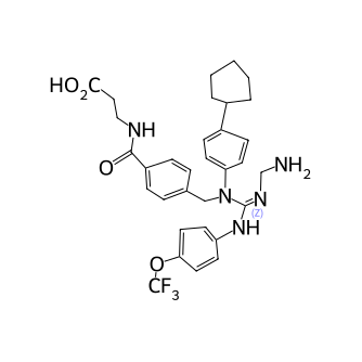 NC/N=C(/Nc1ccc(OC(F)(F)F)cc1)N(Cc1ccc(C(=O)NCCC(=O)O)cc1)c1ccc(C2CCCCC2)cc1